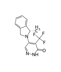 C[C@H]1c2ccccc2CN1c1cn[nH]c(=O)c1C(F)(F)F